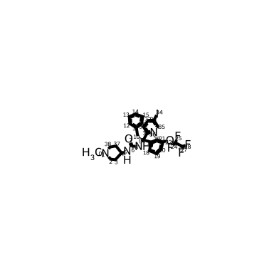 CN1CCC(NC(=O)N[C@](Cc2ccccc2)(c2cccc(OC(F)(F)C(F)F)c2)c2ccc(I)cn2)CC1